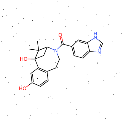 CC1(C)C2CC1(O)c1cc(O)ccc1CCN2C(=O)c1ccc2nc[nH]c2c1